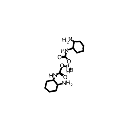 NC1CCCCC1NC(=O)O[PH](=O)OC(=O)NC1CCCCC1N